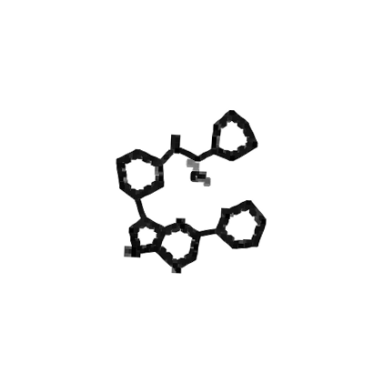 C[C@H](Nc1cccc(-c2c[nH]c3ncc(-c4ccccn4)nc23)c1)c1ccccc1